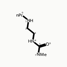 CCCNCCNC(=O)NC